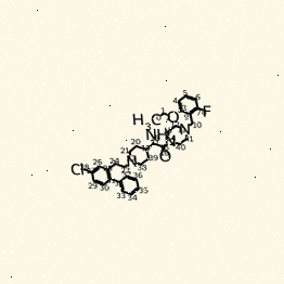 CCOc1cccc(F)c1CN1CCN(C(=O)[C@H](N)C2CCN(CCc3cc(Cl)ccc3-c3ccccc3)CC2)CC1